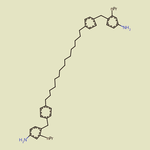 CCCc1cc(N)ccc1Cc1ccc(CCCCCCCCCCCCCCCc2ccc(Cc3ccc(N)cc3CCC)cc2)cc1